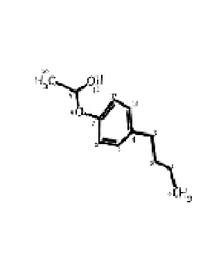 CCCCc1ccc(OC(C)O)cc1